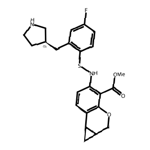 COC(=O)c1c(NSc2ccc(F)cc2C[C@H]2CCNC2)ccc2c1OCC1CC21